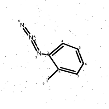 [N-]=[N+]=Nc1ccccc1I